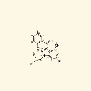 N#Cc1cc(F)cc2c1c(C(=O)c1cc(F)ccc1Cl)nn2CC(F)F